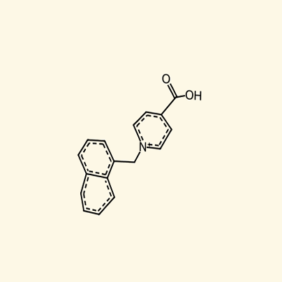 O=C(O)c1cc[n+](Cc2cccc3ccccc23)cc1